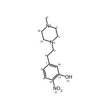 CN1CCN(CCc2ccc([N+](=O)[O-])c(O)c2)CC1